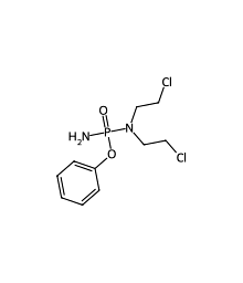 NP(=O)(Oc1ccccc1)N(CCCl)CCCl